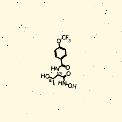 C[C@@H](O)[C@H](NC(=O)c1ccc(OC(F)(F)F)cc1)C(=O)NO